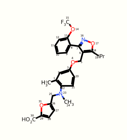 Cc1cc(OCc2c(-c3ccccc3OC(F)(F)F)noc2C(C)C)ccc1N(C)Cc1ccc(C(=O)O)o1